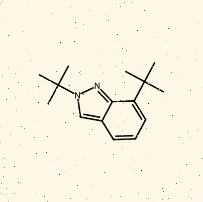 CC(C)(C)c1cccc2cn(C(C)(C)C)nc12